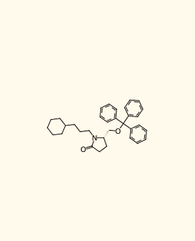 O=C1CC[C@@H](COC(c2ccccc2)(c2ccccc2)c2ccccc2)N1CCCC1CCCCC1